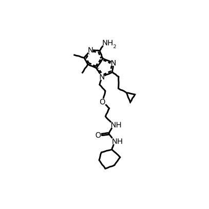 Cc1nc(N)c2nc(CCC3CC3)n(CCOCCNC(=O)NC3CCCCC3)c2c1C